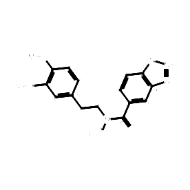 COc1ccc(CCN(C)C(=O)c2ccc3[nH]nnc3c2)cc1OC